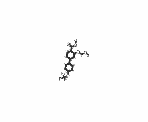 COCOc1cc(-c2ccc(OC(F)(F)F)cc2)ccc1C(=O)OC